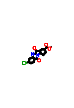 COC(=O)c1ccc2c(c1)C(=O)c1nc3cc(Cl)ccc3c(=O)n1-2